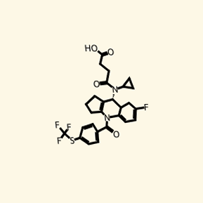 O=C(O)CCC(=O)N(C1CC1)[C@H]1C2=C(CCC2)N(C(=O)c2ccc(SC(F)(F)F)cc2)C2=CC=C(F)CC21